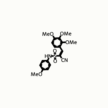 COc1ccc(NS(=O)(=O)/C(C#N)=C\c2ccc(OC)c(OC)c2OC)cc1